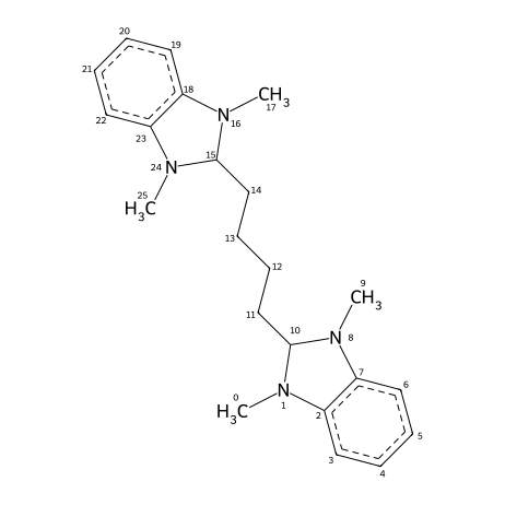 CN1c2ccccc2N(C)C1CCCCC1N(C)c2ccccc2N1C